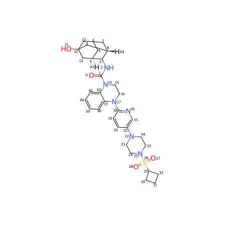 O=C(NC1[C@@H]2CC3C[C@H]1CC(O)(C3)C2)N1CCN(c2ccc(N3CCN(S(=O)(=O)C4CCC4)CC3)cn2)c2ccccc21